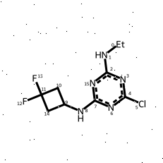 CCNc1nc(Cl)nc(NC2CC(F)(F)C2)n1